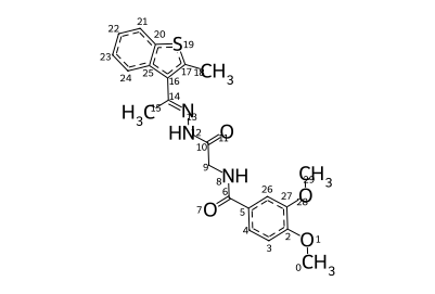 COc1ccc(C(=O)NCC(=O)N/N=C(\C)c2c(C)sc3ccccc23)cc1OC